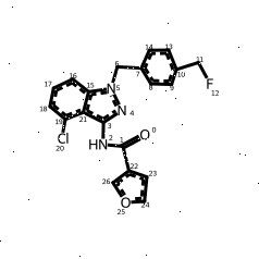 O=C(Nc1nn(Cc2ccc(CF)cc2)c2cccc(Cl)c12)c1ccoc1